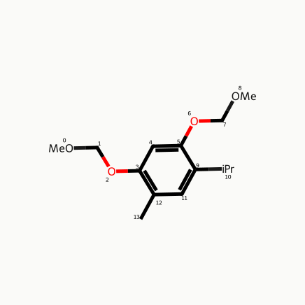 COCOc1cc(OCOC)c(C(C)C)cc1C